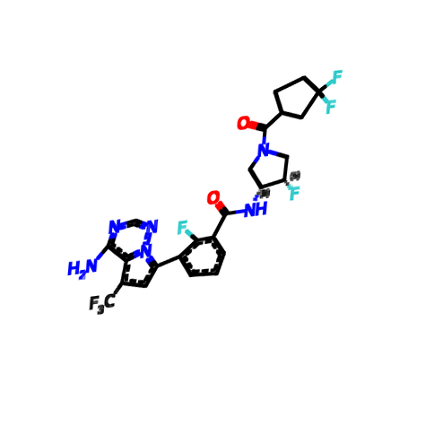 Nc1ncnn2c(-c3cccc(C(=O)N[C@@H]4CN(C(=O)C5CCC(F)(F)C5)C[C@@H]4F)c3F)cc(C(F)(F)F)c12